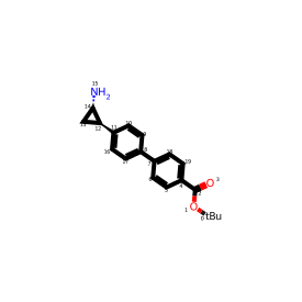 CC(C)(C)OC(=O)c1ccc(-c2ccc([C@H]3C[C@@H]3N)cc2)cc1